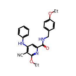 CCOc1ccc(CNC(=O)c2cc(Nc3ccccc3)c(C#N)c(OCC)n2)cc1